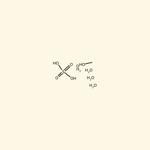 CO.O.O.O.O.O=S(=O)(O)O